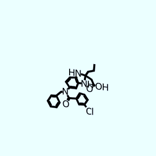 CCCC1(CC(=O)O)Nc2ccc(N(Cc3ccccc3)C(=O)c3cccc(Cl)c3)cc2N1